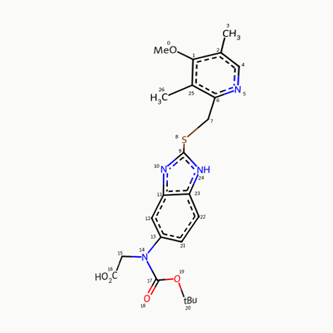 COc1c(C)cnc(CSc2nc3cc(N(CC(=O)O)C(=O)OC(C)(C)C)ccc3[nH]2)c1C